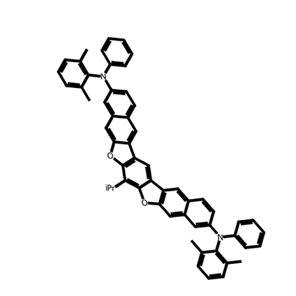 Cc1cccc(C)c1N(c1ccccc1)c1ccc2cc3c(cc2c1)oc1c(C(C)C)c2oc4cc5cc(N(c6ccccc6)c6c(C)cccc6C)ccc5cc4c2cc13